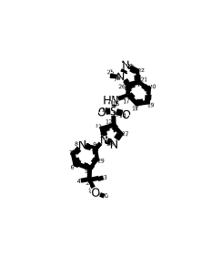 COC(C)(C)c1ccnc(-n2cc(S(=O)(=O)Nc3cccc4cnn(C)c34)cn2)c1